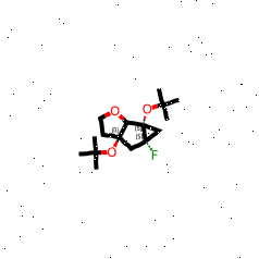 CC(C)(C)O[C@@]12CCOC1[C@@]1(OC(C)(C)C)C[C@@]1(F)C2